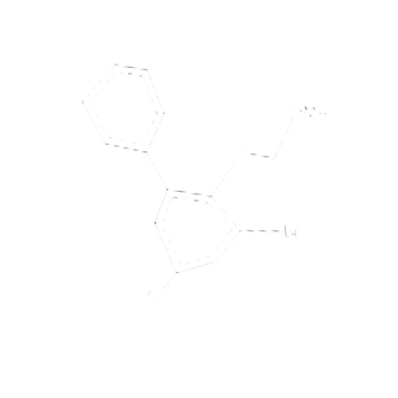 COCOc1c(Br)cc(C(C)(C)C)cc1-c1ccccc1